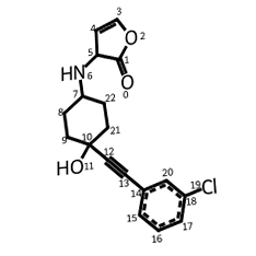 O=C1OC=CC1NC1CCC(O)(C#Cc2cccc(Cl)c2)CC1